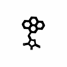 O=C1NC(=S)SC1=Cc1cc2cccc3ccc4cccc1c4c32